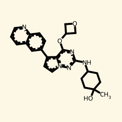 CC1(O)CCC(Nc2nc(OC3COC3)c3c(-c4ccc5ncccc5c4)ccn3n2)CC1